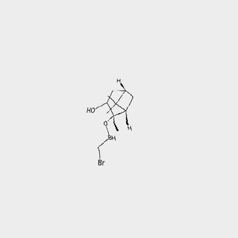 CC1(C)[C@@H]2CC(O)[C@@](C)(OBCBr)[C@H]1C2